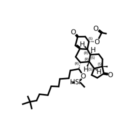 CC(=O)O[C@H]1CC(=O)C=C2C[C@@H](C(CCCCCCCCC(C)(C)C)O[SiH](C)C)[C@@H]3[C@H](CC[C@]4(C)C(=O)CC[C@@H]34)[C@H]21